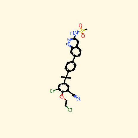 CC(C)(c1ccc(-c2ccc3cc(NS(C)(=O)=O)nnc3c2)cc1)c1cc(Cl)c(OCCCl)c(C#N)c1